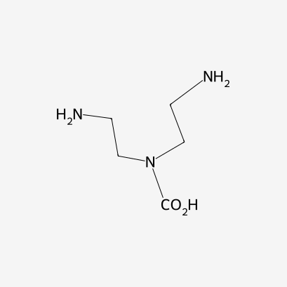 NCCN(CCN)C(=O)O